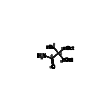 CCCCCCCCC(CCCC)(CCCCCCCC)C(N)=O